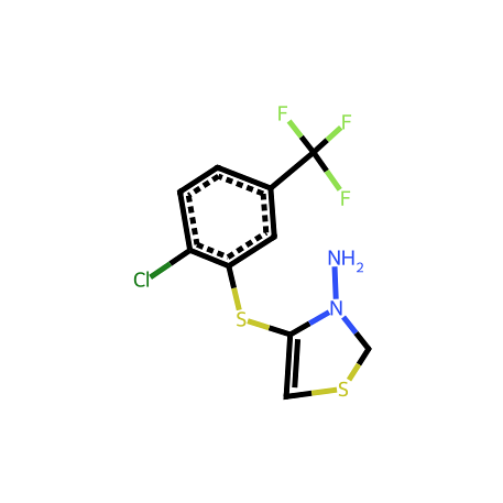 NN1CSC=C1Sc1cc(C(F)(F)F)ccc1Cl